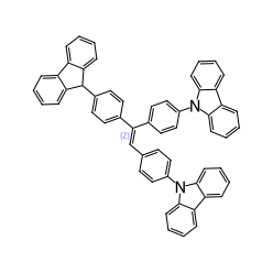 C(=C(\c1ccc(C2c3ccccc3-c3ccccc32)cc1)c1ccc(-n2c3ccccc3c3ccccc32)cc1)/c1ccc(-n2c3ccccc3c3ccccc32)cc1